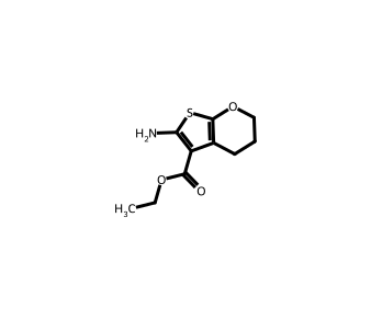 CCOC(=O)c1c(N)sc2c1CCCO2